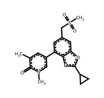 Cc1cc(-c2cc(CS(C)(=O)=O)cc3oc(C4CC4)nc23)cn(C)c1=O